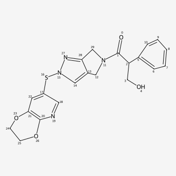 O=C(C(CO)c1ccccc1)N1Cc2cn(Sc3cnc4c(c3)OCCO4)nc2C1